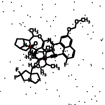 COCOc1cc(-c2nc3c4c(nc(OCC56CCCN5CC(F)(F)C6)nc4c2F)N2CC4CCC(C2C(C)O3)N4C(=O)O)c2c(C#C[Si](C(C)C)(C(C)C)C(C)C)c(F)ccc2c1